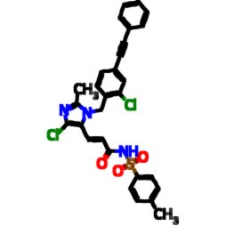 Cc1ccc(S(=O)(=O)NC(=O)C=Cc2c(Cl)nc(C)n2Cc2ccc(C#Cc3ccccc3)cc2Cl)cc1